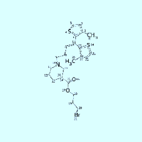 Cc1ccsc1C(=CCCN1CCC[C@@H](C(=O)OCCCBr)C1)c1sccc1C